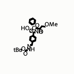 COCCC(=O)C(NC(=O)c1ccc(C=NNC(=O)OC(C)(C)C)cc1)(Oc1ccccc1)C(=O)O